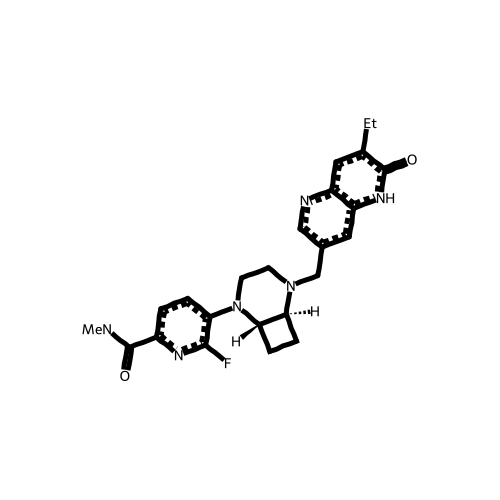 CCc1cc2ncc(CN3CCN(c4ccc(C(=O)NC)nc4F)[C@H]4CC[C@@H]43)cc2[nH]c1=O